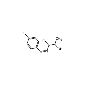 CC(O)C(Cl)/N=C\c1ccc(Cl)cc1